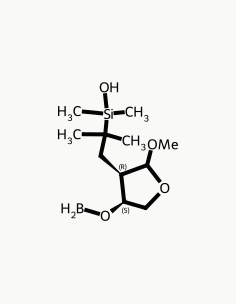 BO[C@@H]1COC(OC)[C@@H]1CC(C)(C)[Si](C)(C)O